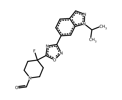 CC(C)n1ncc2ccc(-c3noc(C4(F)CCN(C=O)CC4)n3)cc21